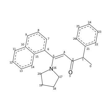 CC(C(=O)C=C(c1cccc2ccccc12)N1CCCC1)c1ccccc1